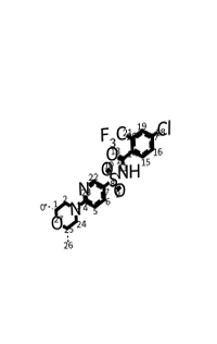 C[C@@H]1CN(c2ccc(S(=O)(=O)NC(=O)c3ccc(Cl)cc3C(F)(F)F)cn2)C[C@H](C)O1